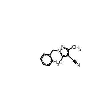 Cc1nn(Cc2ccccc2)c(C)c1C#N